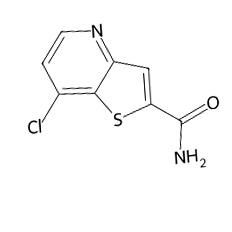 NC(=O)c1cc2nccc(Cl)c2s1